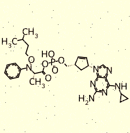 CC(C)CCON(c1ccccc1)[C@@H](C)C(=O)OP(=O)(O)OC[C@@H]1C=C[C@H](n2cnc3c(NC4CC4)nc(N)nc32)C1